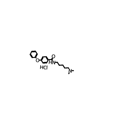 CN(C)CCCCCNC(=O)c1ccc(Oc2ccccc2)cc1.Cl